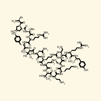 CC[C@H](C)[C@H](NC(=O)[C@@H]1C[C@@H](O)CN1C(=O)[C@@H](N)C(C)C)C(=O)N[C@@H](CCCNC(=N)N)C(=O)N[C@@H](Cc1ccc(O)cc1)C(=O)N[C@H](C(=O)N[C@@H](CC(N)=O)C(=O)N[C@@H](CCCNC(=N)N)C(=O)N[C@@H](CCN)C(=O)N[C@H](C(=O)N[C@H](CCN)C(=O)N[C@@H](CCCCN)C(=O)N[C@@H](CS)C(=O)N[C@@H](CCN)C(=O)N[C@@H](CCCNC(=N)N)C(=O)N[C@@H](Cc1ccc(O)cc1)C(=O)O)[C@@H](C)O)C(C)(C)S